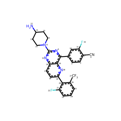 N#Cc1ccc(-c2nc(N3CCC(N)CC3)nc3ccc(-c4c(F)cccc4C(F)(F)F)nc23)cc1F